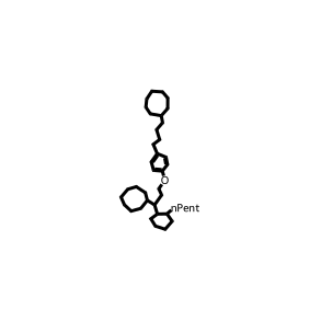 CCCCCC1CCCCC1C(CCOc1ccc(CCCCC2CCCCCCC2)cc1)C1CCCCCCC1